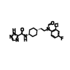 O=CN(CC[C@H]1CC[C@@H](NC(=O)c2ncn[nH]2)CC1)c1ccc(F)cc1Cl